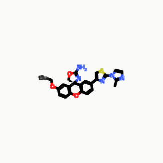 Cc1nccn1-c1nc(-c2ccc3c(c2)[C@@]2(COC(N)=N2)c2cc(OCC(C)(C)C)ccc2O3)cs1